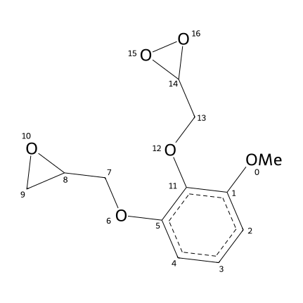 COc1cccc(OCC2CO2)c1OCC1OO1